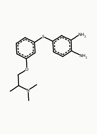 CC(COc1cccc(Sc2ccc(N)c(N)c2)c1)N(C)C